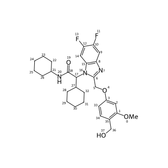 COc1cc(OCc2nc3cc(F)c(F)cc3n2C(C(=O)NC2CCCCC2)C2CCCCC2)ccc1CO